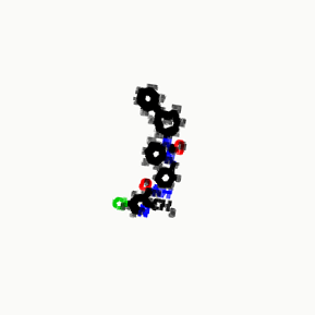 Cc1ncc(Cl)cc1C(=O)N[C@H]1CC[C@H](Cn2c(=O)n(C3=C/CC/C=C(c4ccccc4)/C=C\3)c3ccccc32)CC1